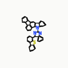 c1ccc2c(c1)-c1cccc3c1c-2cc1c2ccccc2n(-c2nc(-c4cccc5c4sc4ccccc45)c4ccccc4n2)c31